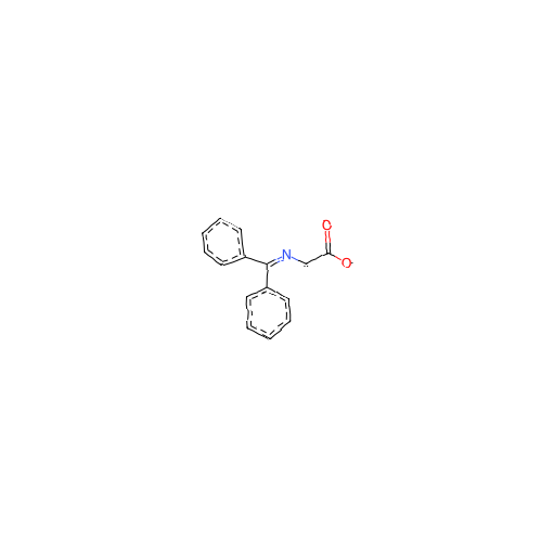 [O]C(=O)[C]N=C(c1ccccc1)c1ccccc1